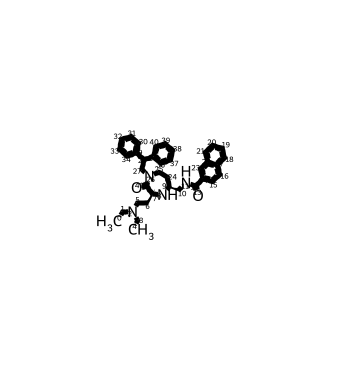 CCN(CC)CC[C@@H]1N[C@H](CNC(=O)c2ccc3ccccc3c2)CCN(CC(c2ccccc2)c2ccccc2)C1=O